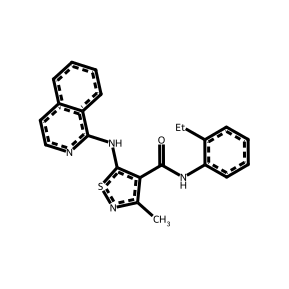 CCc1ccccc1NC(=O)c1c(C)nsc1Nc1nccc2ccccc12